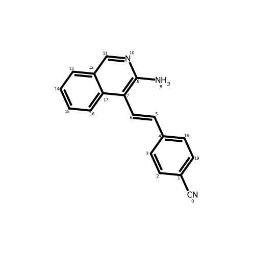 N#Cc1ccc(C=Cc2c(N)ncc3ccccc23)cc1